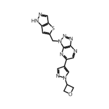 c1nn(C2COC2)cc1-c1cnc2nnn(Cc3cc4[nH]ncc4s3)c2n1